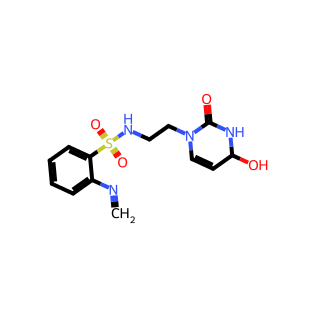 C=Nc1ccccc1S(=O)(=O)NCCN1C=CC(O)NC1=O